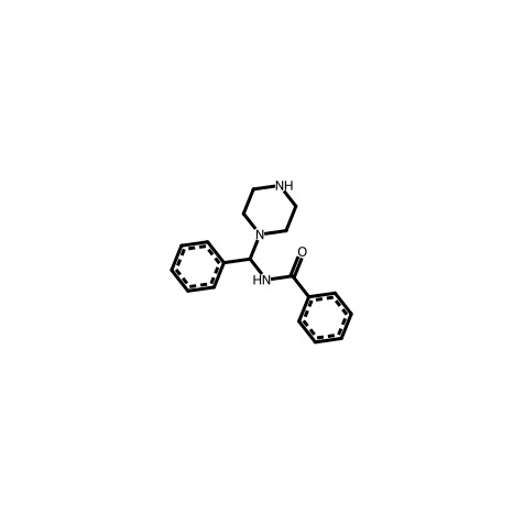 O=C(NC(c1ccccc1)N1CCNCC1)c1ccccc1